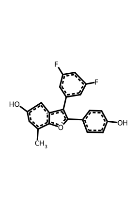 Cc1cc(O)cc2c(-c3cc(F)cc(F)c3)c(-c3ccc(O)cc3)oc12